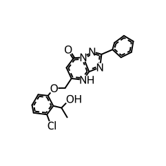 CC(O)c1c(Cl)cccc1OCc1cc(=O)n2nc(-c3ccccc3)nc2[nH]1